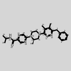 Cc1c(Cc2ccccc2)nnc(N2CCN(c3cnc(C(=O)NC(C)C)cn3)[C@H](C)C2)c1C